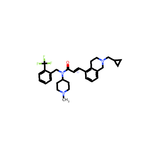 CN1CCC(N(Cc2ccccc2C(F)(F)F)C(=O)/C=C/c2cccc3c2CCN(CC2CC2)C3)CC1